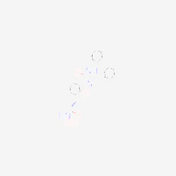 O=CN(CCc1ccccc1)C(C(=O)NCc1ccccc1)c1cccc(/C=C/C(=O)NO)c1